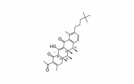 CC(=O)C1=C(C)C[C@@]2(C)[C@H](C)[C@]3(C)C(=C(O)[C@]2(C)C1=O)C(=O)c1c(ccc(CCCC(C)(C)C)c1C)[C@H]3C